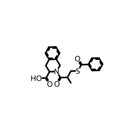 CC(CSC(=O)c1ccccc1)C(=O)N1Cc2ccccc2CC1C(=O)O